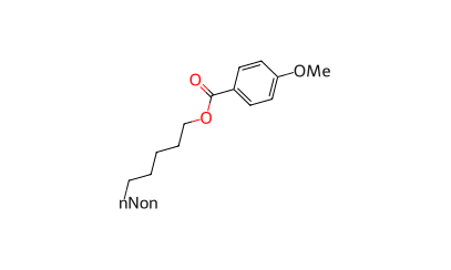 CCCCCCCCCCCCCCOC(=O)c1ccc(OC)cc1